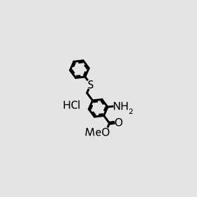 COC(=O)c1ccc(CSc2ccccc2)cc1N.Cl